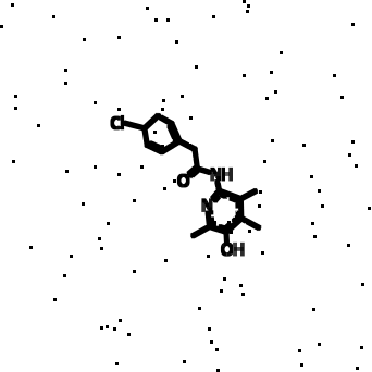 Cc1nc(NC(=O)CC2=CCC(Cl)C=C2)c(C)c(C)c1O